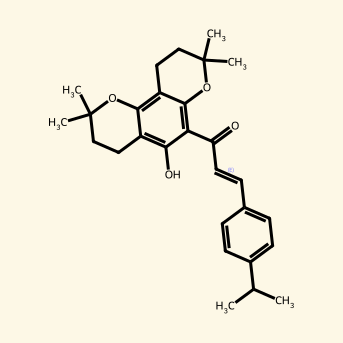 CC(C)c1ccc(/C=C/C(=O)c2c(O)c3c(c4c2OC(C)(C)CC4)OC(C)(C)CC3)cc1